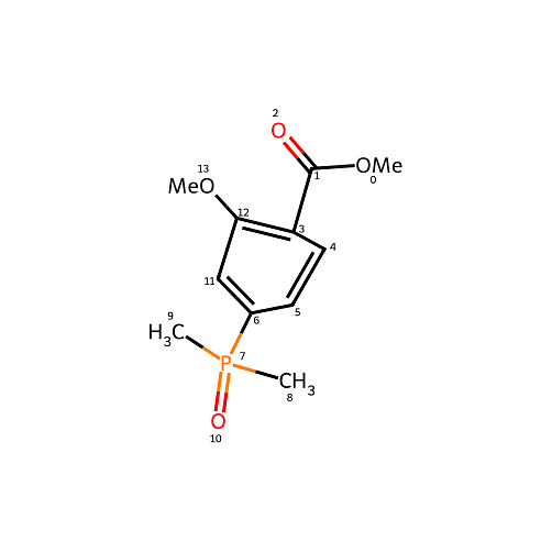 COC(=O)c1ccc(P(C)(C)=O)cc1OC